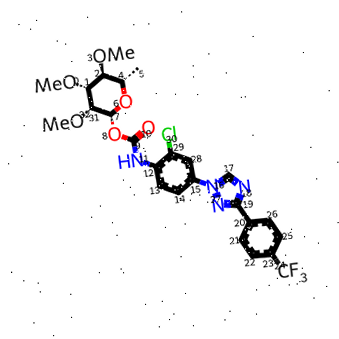 CO[C@@H]1[C@@H](OC)[C@H](C)O[C@H](OC(=O)Nc2ccc(-n3cnc(-c4ccc(C(F)(F)F)cc4)n3)cc2Cl)[C@@H]1OC